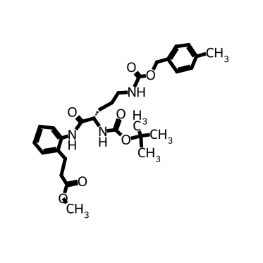 COC(=O)CCc1ccccc1NC(=O)[C@H](CCCNC(=O)OCc1ccc(C)cc1)NC(=O)OC(C)(C)C